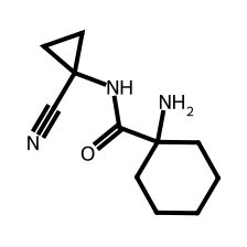 N#CC1(NC(=O)C2(N)CCCCC2)CC1